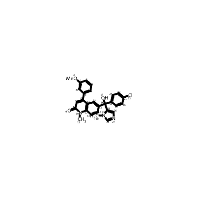 COc1cccc(-c2cc(=O)n(C)c3ccc(C(O)(c4ccc(Cl)cc4)c4cncn4C)cc23)c1